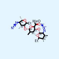 CCC1O[C@H](O[C@@H]2C(C(=O)OC)O[C@@H](O[C@@H]3C(CC)O[C@@H](C)C(N=[N+]=[N-])[C@H]3C)C(C)[C@H]2C)C(N=[N+]=[N-])[C@@H](C)[C@@H]1C